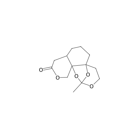 CC12OCCC3(CCCC4CC(=O)OCC43O1)O2